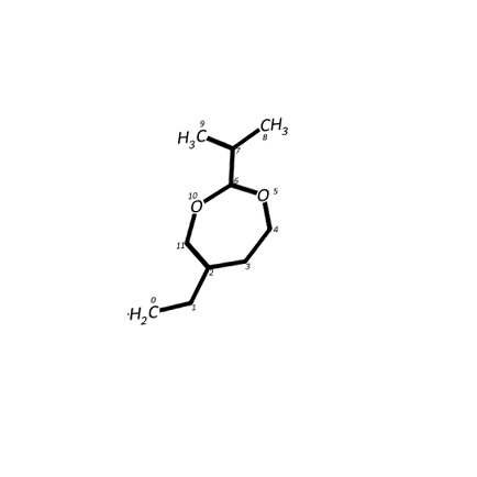 [CH2]CC1CCOC(C(C)C)OC1